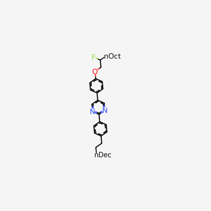 CCCCCCCCCCCCc1ccc(-c2ncc(-c3ccc(OCC(F)CCCCCCCC)cc3)cn2)cc1